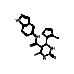 CC1=C(C(=O)Nc2ccc3[nH]ncc3c2)C(c2sccc2C)NC(=O)N1